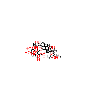 CC1O[C@@H](OC2C(O)C(O)C(CO)O[C@H]2OC2C[C@]3(C)C(CC(O)C4[C@@H]([C@]5(C)CC[C@@H](C(C)(C)O)O5)CC[C@]43C)[C@@]3(C)CCC(O)C(C)(C)C23)C(O)C(O)C1O